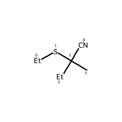 CCSC(C)(C#N)CC